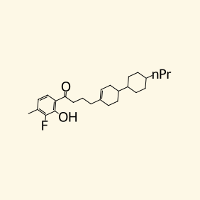 CCCC1CCC(C2CC=C(CCCC(=O)c3ccc(C)c(F)c3O)CC2)CC1